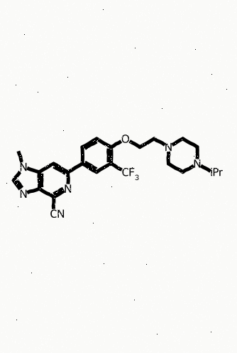 CC(C)N1CCN(CCOc2ccc(-c3cc4c(ncn4C)c(C#N)n3)cc2C(F)(F)F)CC1